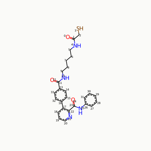 O=C(CS)NCCCCCNC(=O)c1ccc(-c2cccnc2C(=O)Nc2ccccc2)cc1